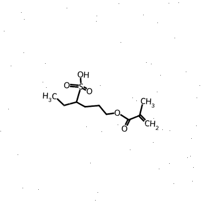 C=C(C)C(=O)OCCCC(CC)S(=O)(=O)O